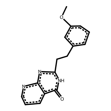 COc1cccc(CCc2nc3ncccc3c(=O)[nH]2)c1